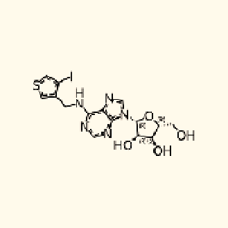 OC[C@H]1O[C@@H](n2cnc3c(NCc4cscc4I)ncnc32)[C@H](O)[C@@H]1O